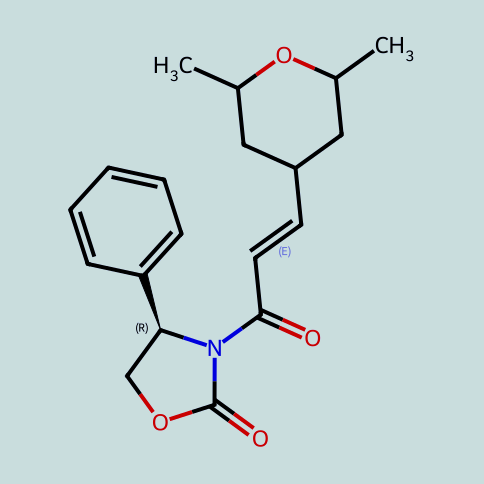 CC1CC(/C=C/C(=O)N2C(=O)OC[C@H]2c2ccccc2)CC(C)O1